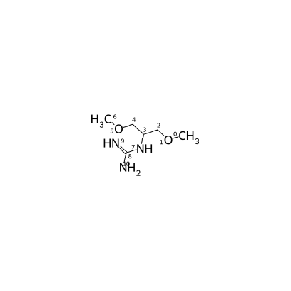 COCC(COC)NC(=N)N